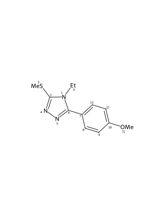 CCn1c(SC)nnc1-c1ccc(OC)cc1